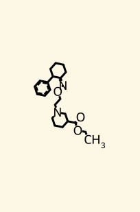 CCOC(=O)C1CCCN(CCON=C2CCCCC2c2ccccc2)C1